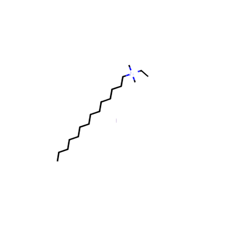 CCCCCCCCCCCCCC[N+](C)(C)CC.[I-]